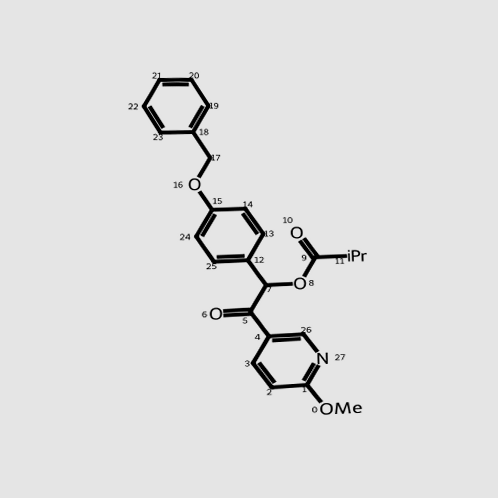 COc1ccc(C(=O)C(OC(=O)C(C)C)c2ccc(OCc3ccccc3)cc2)cn1